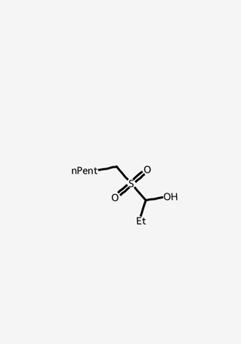 CCCCCCS(=O)(=O)C(O)CC